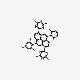 Cc1cc(C)c(-c2cc3c(-c4nc(C)nc(C)n4)ccc4c(-c5c(C)cccc5C)cc5c(-c6nc(C)nc(C)n6)ccc2c5c34)c(C)c1